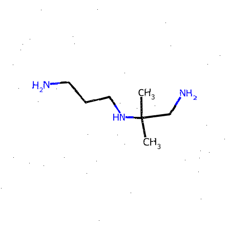 CC(C)(CN)NCCCN